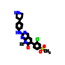 CCn1c(=O)c(-c2ccc(S(C)(=O)=O)cc2Cl)cc2cnc(Nc3ccc(C4CCNCC4)cc3)nc21